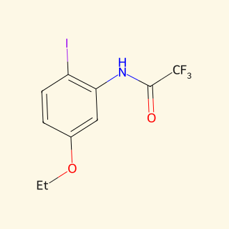 CCOc1ccc(I)c(NC(=O)C(F)(F)F)c1